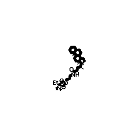 CCC(N(C)C)S(=O)(=O)OCCCNC(=O)CC[C@@H](C)[C@H]1CCC2C3CCC4CCCC[C@]4(C)C3CC[C@@]21C